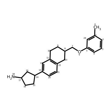 Cc1cccc(OCC2CCc3cc(C4CCC(N)C4)ccc3C2)c1